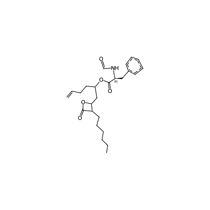 C=CCCC(CC1OC(=O)C1CCCCCC)OC(=O)[C@H](Cc1ccccc1)NC=O